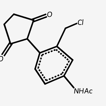 CC(=O)Nc1ccc(C2C(=O)CCC2=O)c(CCl)c1